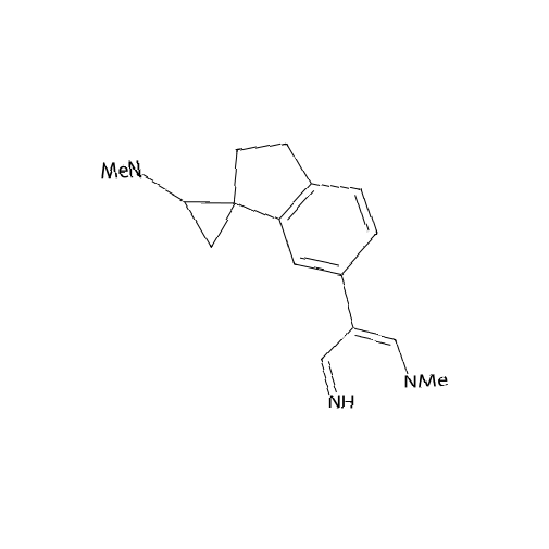 CN/C=C(\C=N)c1ccc2c(c1)C1(CC2)CC1NC